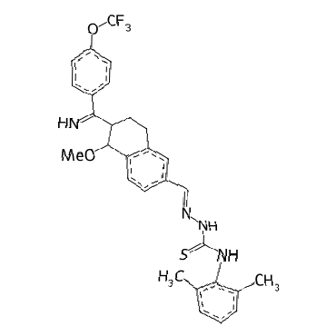 COC1c2ccc(/C=N/NC(=S)Nc3c(C)cccc3C)cc2CCC1C(=N)c1ccc(OC(F)(F)F)cc1